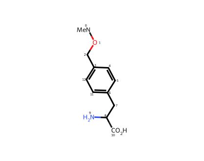 CNOCc1ccc(CC(N)C(=O)O)cc1